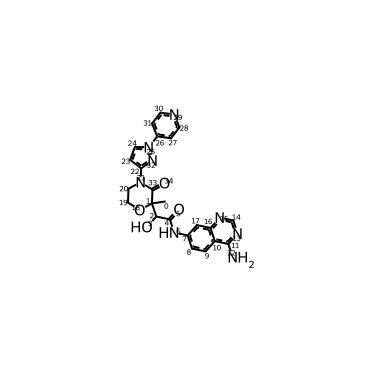 CC1(C(O)C(=O)Nc2ccc3c(N)ncnc3c2)OCCN(c2ccn(-c3ccncc3)n2)C1=O